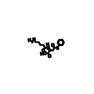 NCCCCC(=O)N[C@@H](CC(=O)Sc1ccccc1)C(=O)O